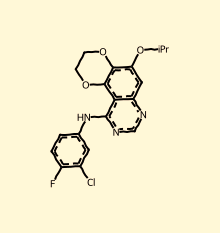 CC(C)Oc1cc2ncnc(Nc3ccc(F)c(Cl)c3)c2c2c1OCCO2